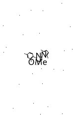 COc1cc(C)ccc1-c1cccc(-n2c(C)ccc2C)n1